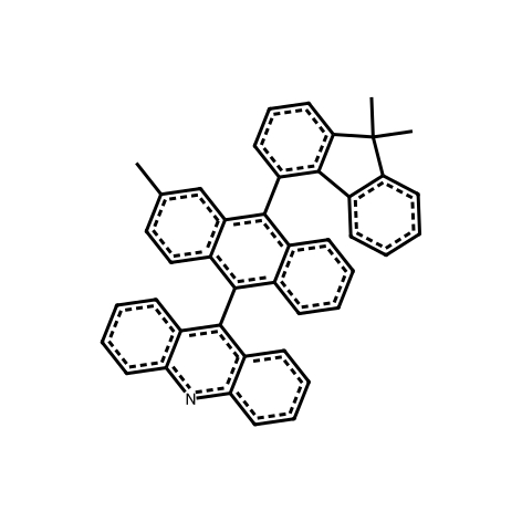 Cc1ccc2c(-c3c4ccccc4nc4ccccc34)c3ccccc3c(-c3cccc4c3-c3ccccc3C4(C)C)c2c1